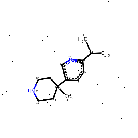 CC(C)c1ccc(C2(C)CCNCC2)cn1